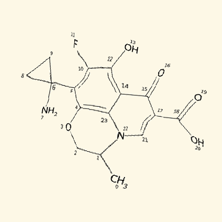 CC1COc2c(C3(N)CC3)c(F)c(O)c3c(=O)c(C(=O)O)cn1c23